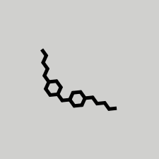 CCCCCC1CCC(CC2CCC(CCCCC)CC2)CC1